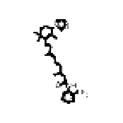 CC1=C(/C=C/C(C)=C/C=C/C(C)=C/C(=O)Nc2ccccc2C(F)(F)F)C(C)(C)CCC1n1ccnc1